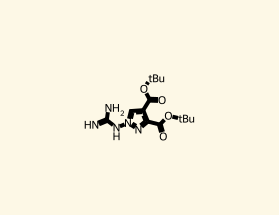 CC(C)(C)OC(=O)c1cn(NC(=N)N)nc1C(=O)OC(C)(C)C